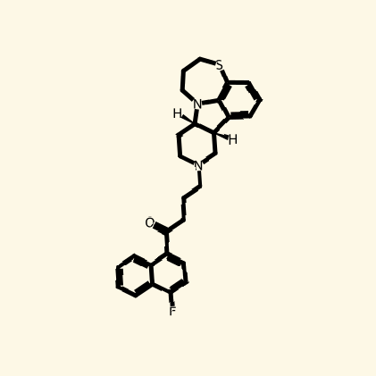 O=C(CCCN1CC[C@H]2[C@@H](C1)c1cccc3c1N2CCCS3)c1ccc(F)c2ccccc12